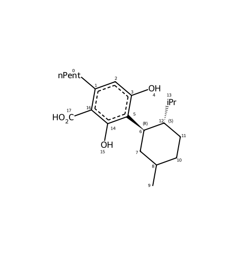 CCCCCc1cc(O)c([C@@H]2CC(C)CC[C@H]2C(C)C)c(O)c1C(=O)O